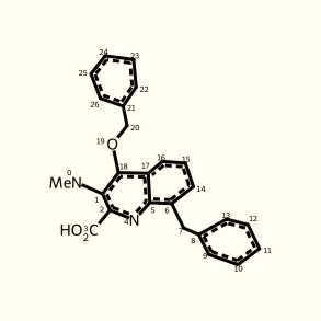 CNc1c(C(=O)O)nc2c(Cc3ccccc3)cccc2c1OCc1ccccc1